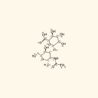 CC(=O)NC1[C@H](C)OC(CO)[C@@H](O)[C@@H]1O[C@@H]1OC(C(=O)O)[C@@H](O)[C@H](O)C1O